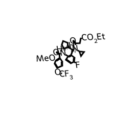 CCOC(=O)CCC(=O)N(C1CC1)[C@H]1c2cc(F)ccc2N(C(=O)c2ccc(OC(F)(F)F)cc2OC)[C@H]2CCC[C@@H]21